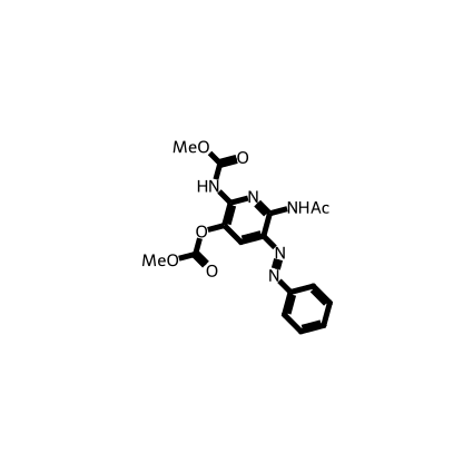 COC(=O)Nc1nc(NC(C)=O)c(/N=N/c2ccccc2)cc1OC(=O)OC